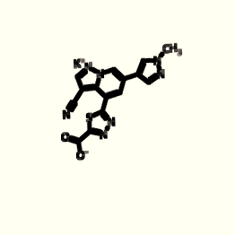 Cn1cc(-c2cc(-c3nnc(C(=O)[O-])s3)c3c(C#N)cnn3c2)cn1.[K+]